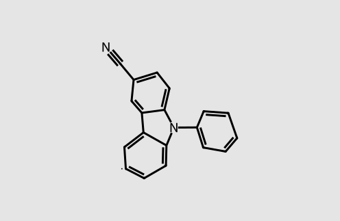 N#Cc1ccc2c(c1)c1c[c]ccc1n2-c1ccccc1